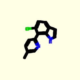 Cc1ccc(-c2c(Cl)ccc3cc[nH]c23)nc1